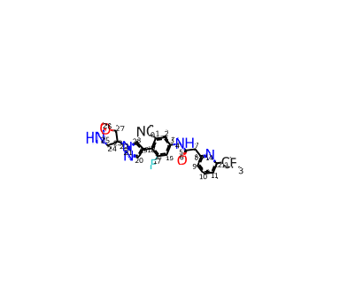 N#Cc1cc(NC(=O)Cc2cccc(C(F)(F)F)n2)cc(F)c1-c1cnn(C2CNOC2)c1